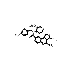 CO[C@@H]1COCC[C@H]1N(Cc1ccc(C(F)(F)F)cn1)C(=O)c1ccc2nc(N)c3c(c2c1)COC3C